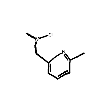 Cc1cccc(CN(C)Cl)n1